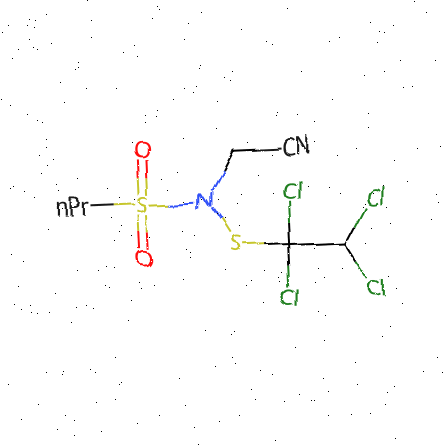 CCCS(=O)(=O)N(CC#N)SC(Cl)(Cl)C(Cl)Cl